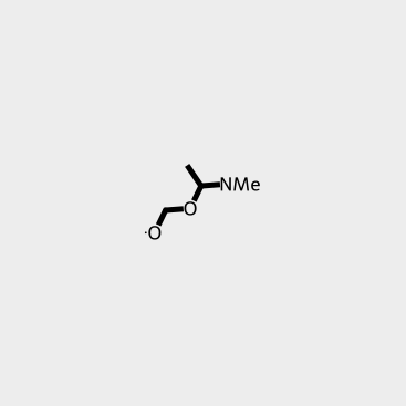 CNC(C)OC[O]